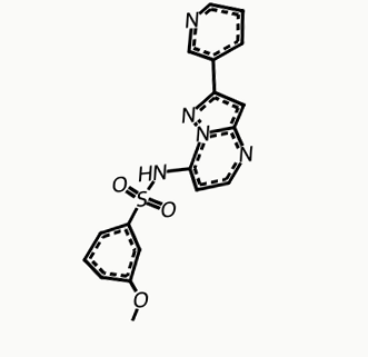 COc1cccc(S(=O)(=O)Nc2ccnc3cc(-c4cccnc4)nn23)c1